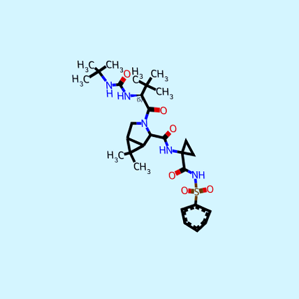 CC(C)(C)NC(=O)N[C@H](C(=O)N1CC2C(C1C(=O)NC1(C(=O)NS(=O)(=O)c3ccccc3)CC1)C2(C)C)C(C)(C)C